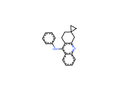 c1ccc(Nc2c3c(nc4ccccc24)CC2(CC3)CC2)cc1